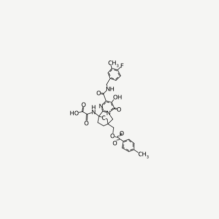 Cc1ccc(S(=O)(=O)OCC23CCC(NC(=O)C(=O)O)(CC2)c2nc(C(=O)NCc4ccc(F)c(C)c4)c(O)c(=O)n2C3)cc1